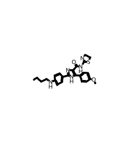 CCCCNc1ccc(-c2nc(C(=O)NC3=NCCS3)c(-c3ccc(OC)cc3)[nH]2)cc1